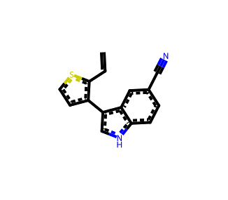 C=Cc1sccc1-c1c[nH]c2ccc(C#N)cc12